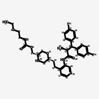 CCOCCNC(=O)OC[C@@H]1CO[C@H](CCc2ccncc2NC(=O)[C@@H](N)C(c2ccc(F)cc2)c2ccc(F)cc2)CN1